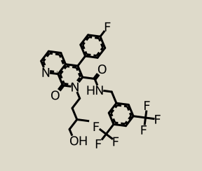 CC(CO)CCn1c(C(=O)NCc2cc(C(F)(F)F)cc(C(F)(F)F)c2)c(-c2ccc(F)cc2)c2cccnc2c1=O